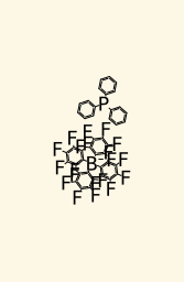 Fc1c(F)c(F)c([B-](c2c(F)c(F)c(F)c(F)c2F)(c2c(F)c(F)c(F)c(F)c2F)c2c(F)c(F)c(F)c(F)c2F)c(F)c1F.c1ccc(P(c2ccccc2)c2ccccc2)cc1